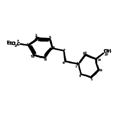 CCOC(=O)c1ccc(CCN2CCCC(O)C2)cc1